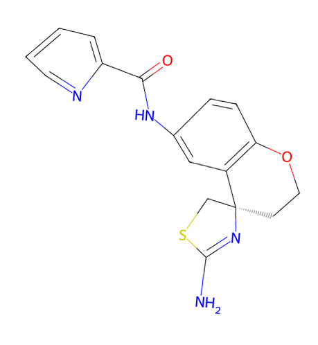 NC1=N[C@@]2(CCOc3ccc(NC(=O)c4ccccn4)cc32)CS1